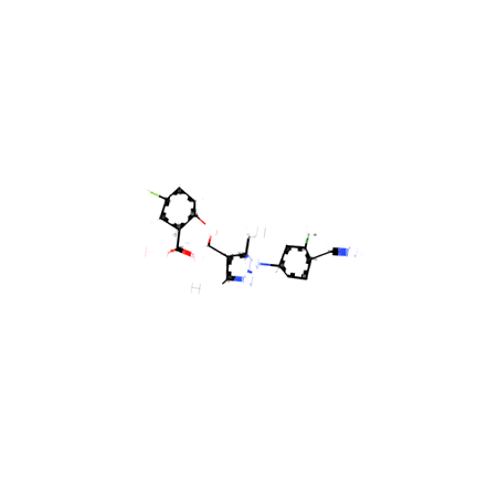 Cc1nn(-c2ccc(C#N)c(Cl)c2)c(C)c1COc1ccc(F)cc1C(=O)O